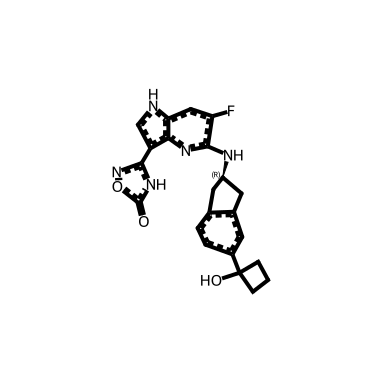 O=c1[nH]c(-c2c[nH]c3cc(F)c(N[C@@H]4Cc5ccc(C6(O)CCC6)cc5C4)nc23)no1